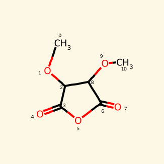 COC1C(=O)OC(=O)C1OC